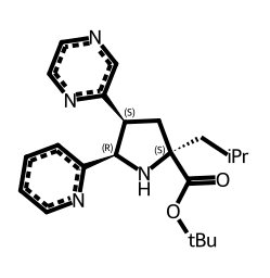 CC(C)C[C@@]1(C(=O)OC(C)(C)C)C[C@H](c2cnccn2)[C@H](c2ccccn2)N1